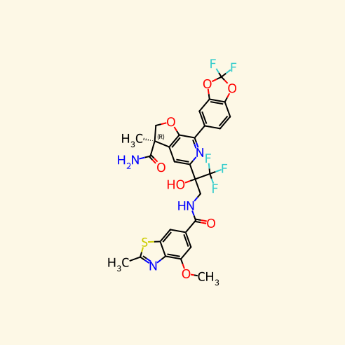 COc1cc(C(=O)NCC(O)(c2cc3c(c(-c4ccc5c(c4)OC(F)(F)O5)n2)OC[C@]3(C)C(N)=O)C(F)(F)F)cc2sc(C)nc12